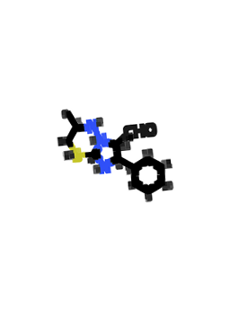 CC1=Nn2c(nc(-c3ccccc3)c2C=O)SC1